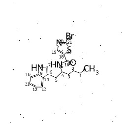 CCCCC(Cc1c[nH]c2ccccc12)NC(=O)c1cnc(Br)s1